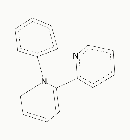 C1=CCN(c2ccccc2)C(c2ccccn2)=C1